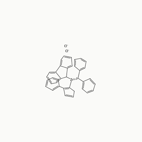 C1=CC(c2ccccc2)=[C]([Zr+2](=[C](c2ccccc2)c2ccccc2)[CH]2c3ccccc3-c3ccccc32)C1.[Cl-].[Cl-]